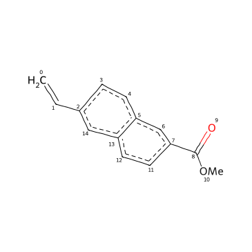 C=Cc1ccc2cc(C(=O)OC)ccc2c1